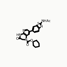 CC(=O)Nc1nc2ccc(-c3cnc4c(c3)N(C(=O)OC3CCCCC3)CC(=O)N4)cc2s1